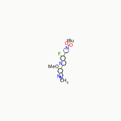 COc1cc2nn(C)cc2cc1-c1ccc2cc(C3=CCN(C(=O)OC(C)(C)C)CC3)c(F)cc2n1